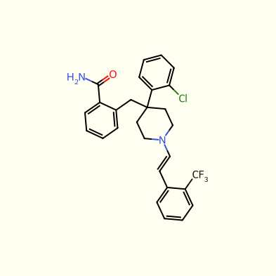 NC(=O)c1ccccc1CC1(c2ccccc2Cl)CCN(C=Cc2ccccc2C(F)(F)F)CC1